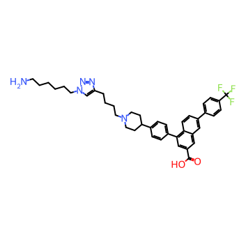 NCCCCCCn1cc(CCCCN2CCC(c3ccc(-c4cc(C(=O)O)cc5cc(-c6ccc(C(F)(F)F)cc6)ccc45)cc3)CC2)nn1